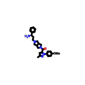 COc1ccc(-n2nc(C)cc2C(=O)N2CC3CN(CC[C@H](N)c4ccccc4)CC3C2)cc1